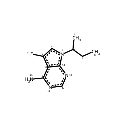 CCC(C)n1cc(F)c2c(N)ncnc21